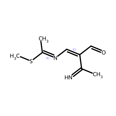 CS/C(C)=N/C=C(/C=O)C(C)=N